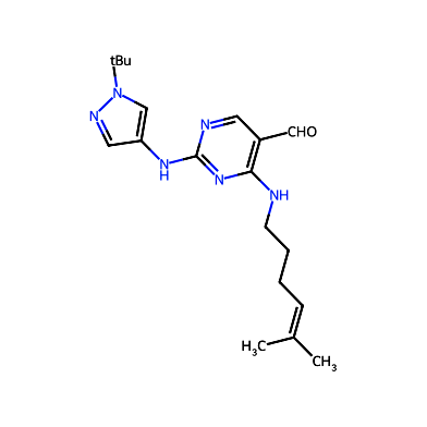 CC(C)=CCCCNc1nc(Nc2cnn(C(C)(C)C)c2)ncc1C=O